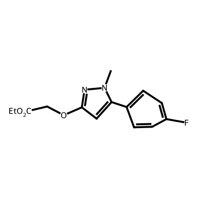 CCOC(=O)COc1cc(-c2ccc(F)cc2)n(C)n1